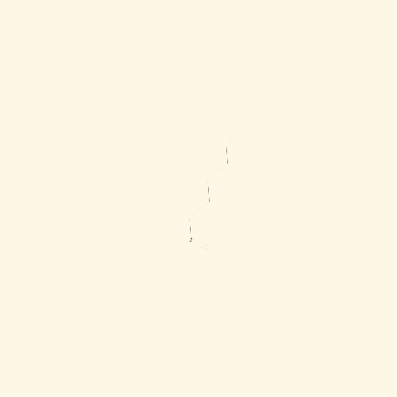 CCOCOC(C)=O